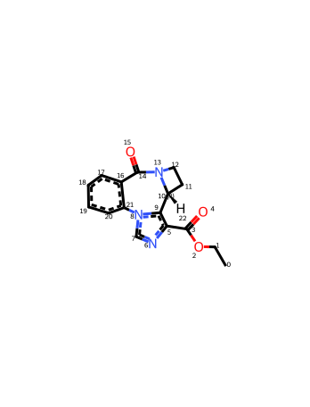 CCOC(=O)c1ncn2c1[C@H]1CCN1C(=O)c1ccccc1-2